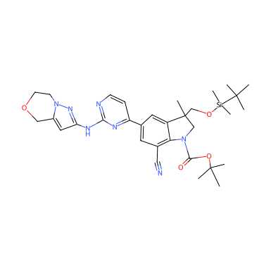 CC(C)(C)OC(=O)N1CC(C)(CO[Si](C)(C)C(C)(C)C)c2cc(-c3ccnc(Nc4cc5n(n4)CCOC5)n3)cc(C#N)c21